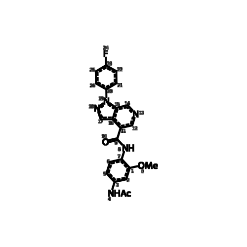 COc1cc(NC(C)=O)ccc1NC(=O)c1cncc2c1cnn2-c1ccc(F)cc1